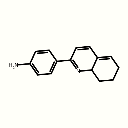 Nc1ccc(C2=NC3CCCC=C3C=C2)cc1